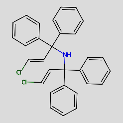 ClC=CC(NC(C=CCl)(c1ccccc1)c1ccccc1)(c1ccccc1)c1ccccc1